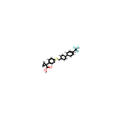 COC(=O)C1(c2ccc(SCc3ccc(-c4ccc(C(F)(F)F)cc4)cc3)cc2)CC1